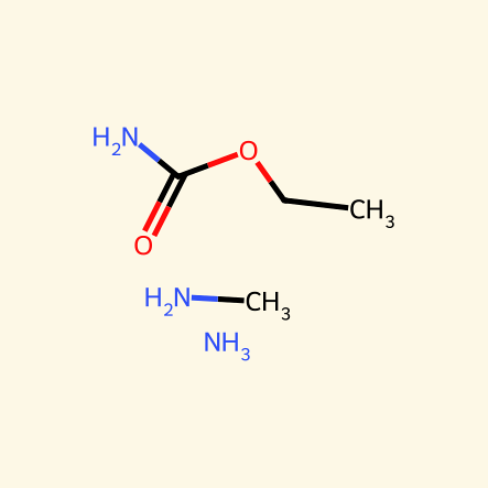 CCOC(N)=O.CN.N